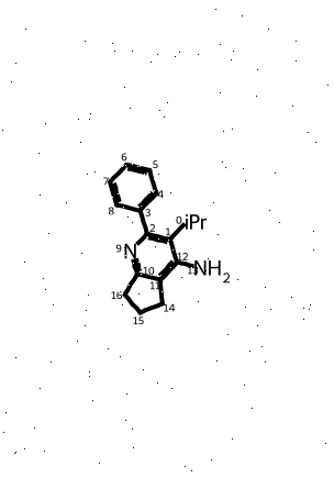 CC(C)c1c(-c2ccccc2)nc2c(c1N)CCC2